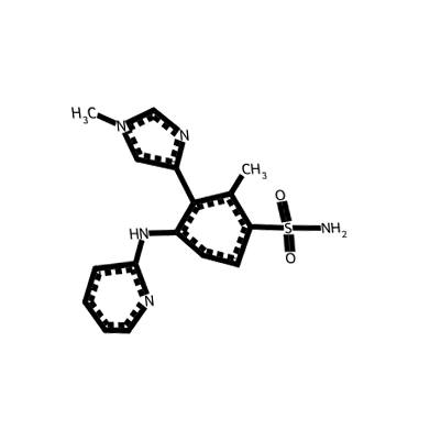 Cc1c(S(N)(=O)=O)ccc(Nc2ccccn2)c1-c1cn(C)cn1